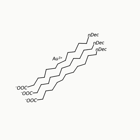 CCCCCCCCCCCCCCCCCCCCCC(=O)[O-].CCCCCCCCCCCCCCCCCCCCCC(=O)[O-].CCCCCCCCCCCCCCCCCCCCCC(=O)[O-].[Au+3]